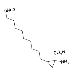 CCCCCCCCCCCCCCCCCCC1CC1(N)C(=O)O